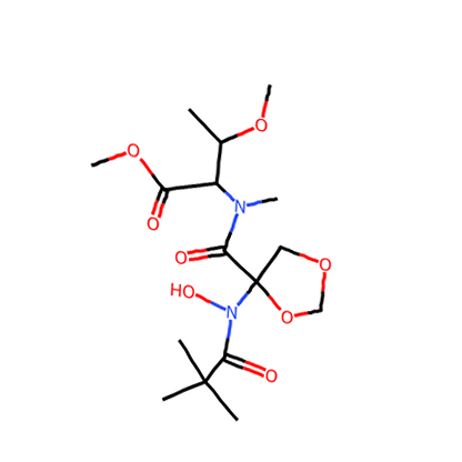 COC(=O)C(C(C)OC)N(C)C(=O)C1(N(O)C(=O)C(C)(C)C)COCO1